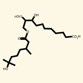 CCCCCCCCC(COC(=O)CC(C)CCCC(C)(C)O)C(O)CCCCCCCC(=O)O